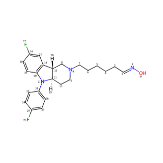 ON=CCCCCCN1CC[C@@H]2[C@@H](C1)c1cc(F)ccc1N2c1ccc(F)cc1